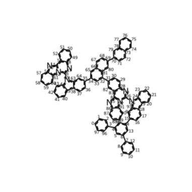 c1ccc(-c2cc(-c3ccccc3)cc(-c3ccc4c5ccccc5n(-c5nc6ccc(-c7cc(-c8ccc9c%10ccccc%10n(-c%10nc%11ccccc%11c%11nc%12ccccc%12n%10%11)c9c8)cc8ccc(-c9ccc%10ccccc%10c9)cc78)cc6c6nc7ccccc7n56)c4c3)c2)cc1